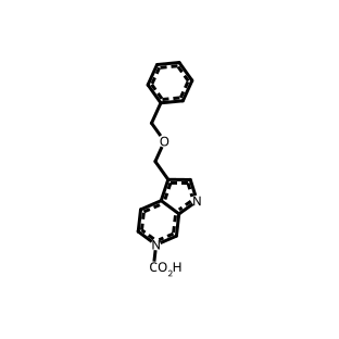 O=C(O)n1ccc2c(COCc3ccccc3)cnc-2c1